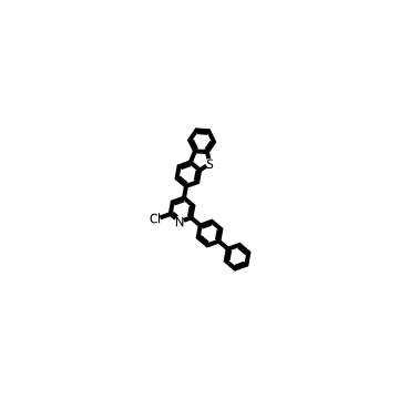 Clc1cc(-c2ccc3c(c2)sc2ccccc23)cc(-c2ccc(-c3ccccc3)cc2)n1